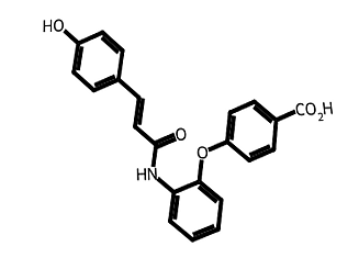 O=C(/C=C/c1ccc(O)cc1)Nc1ccccc1Oc1ccc(C(=O)O)cc1